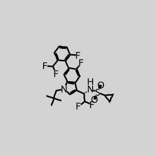 CC(C)(C)Cn1cc([C@H](NS(=O)(=O)C2CC2)C(F)F)c2cc(F)c(-c3c(F)cccc3C(F)F)cc21